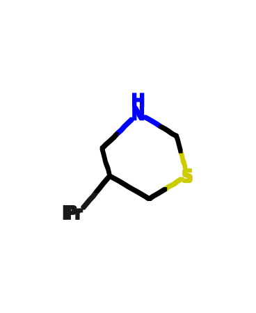 CC(C)C1CNCSC1